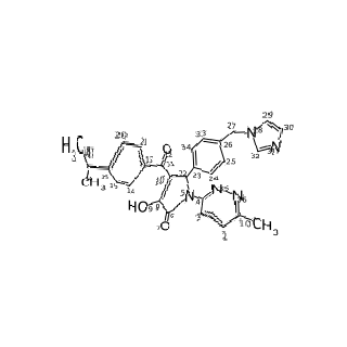 Cc1ccc(N2C(=O)C(O)=C(C(=O)c3ccc(C(C)C)cc3)C2c2ccc(Cn3ccnc3)cc2)nn1